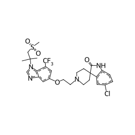 CC(C)(CS(C)(=O)=O)n1cnc2cc(OCCN3CCC4(CC3)C(=O)Nc3ccc(Cl)cc34)cc(C(F)(F)F)c21